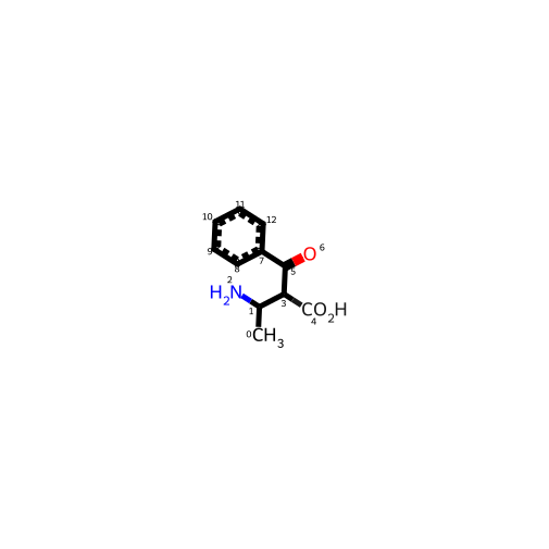 CC(N)C(C(=O)O)C(=O)c1ccccc1